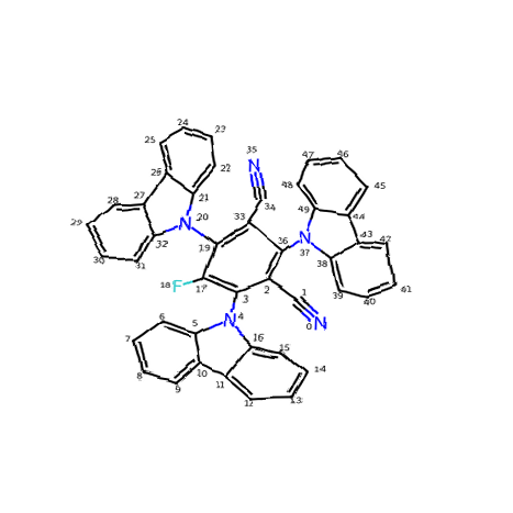 N#Cc1c(-n2c3ccccc3c3ccccc32)c(F)c(-n2c3ccccc3c3ccccc32)c(C#N)c1-n1c2ccccc2c2ccccc21